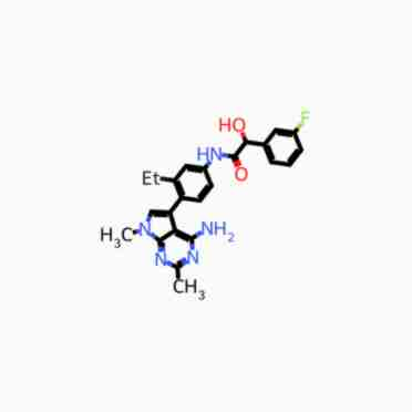 CCc1cc(NC(=O)C(O)c2cccc(F)c2)ccc1-c1cn(C)c2nc(C)nc(N)c12